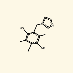 Cc1c(C)c(O)c(Cn2ccnc2)c(C)c1O